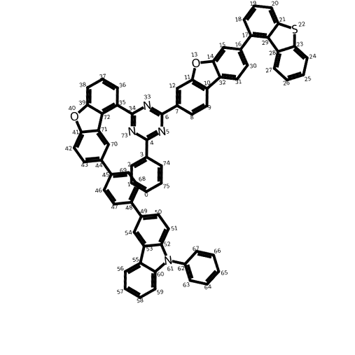 c1ccc(-c2nc(-c3ccc4c(c3)oc3cc(-c5cccc6sc7ccccc7c56)ccc34)nc(-c3cccc4oc5ccc(-c6ccc(-c7ccc8c(c7)c7ccccc7n8-c7ccccc7)cc6)cc5c34)n2)cc1